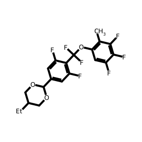 CCC1COC(c2cc(F)c(C(F)(F)Oc3cc(F)c(F)c(F)c3C)c(F)c2)OC1